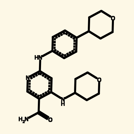 NC(=O)c1cnc(Nc2ccc(C3CCOCC3)cc2)cc1NC1CCOCC1